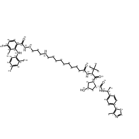 Cc1ncsc1-c1ccc([C@H](C)NC(=O)[C@@H]2C[C@@H](O)CN2C(=O)[C@@H](NC(=O)CCCCCCCCCNCCCONC(=O)c2ccc(F)c(F)c2Nc2ccc(I)cc2F)C(C)(C)C)cc1